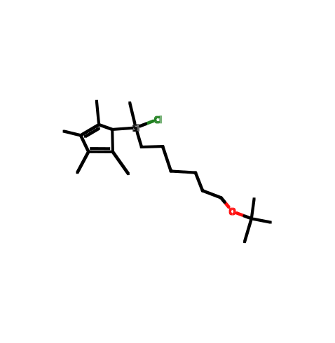 CC1=C(C)C([Si](C)(Cl)CCCCCCOC(C)(C)C)C(C)=C1C